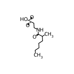 CCCCCC(C)C(=O)NCCS(=O)(=O)O